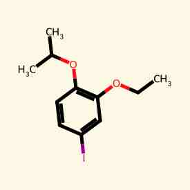 CCOc1cc(I)ccc1OC(C)C